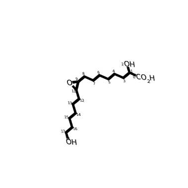 O=C(O)C(O)CCCCCCC1OC1CCCCCCO